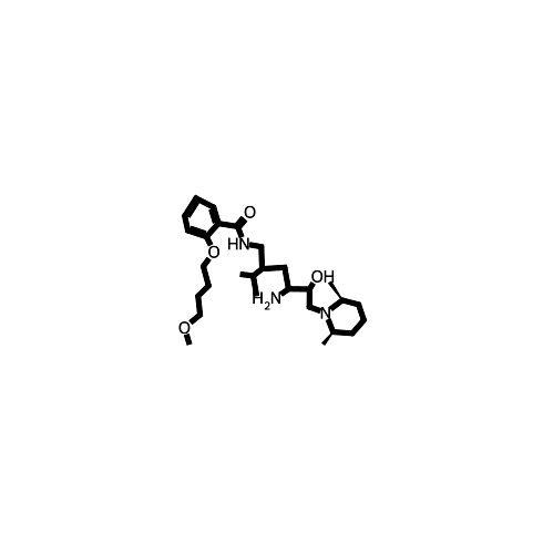 COCCCCOc1ccccc1C(=O)NCC(CC(N)C(O)CN1[C@H](C)CCC[C@@H]1C)C(C)C